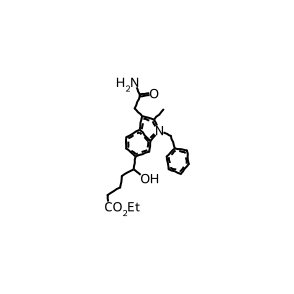 CCOC(=O)CCCC(O)c1ccc2c(CC(N)=O)c(C)n(Cc3ccccc3)c2c1